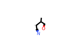 CC([CH]C#N)C=O